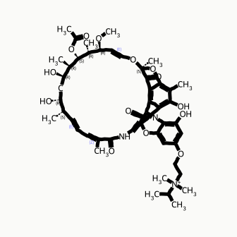 CO[C@H]1/C=C/O[C@@]2(C)Oc3c(C)c(O)c4c(=O)c(c5oc6cc(OCC[N+](C)(C)C(C)C)cc(O)c6nc-5c4c3C2=O)NC(=O)/C(C)=C\C=C\[C@H](C)[C@H](O)C[C@@H](O)[C@@H](C)[C@H](OC(C)=O)[C@@H]1C